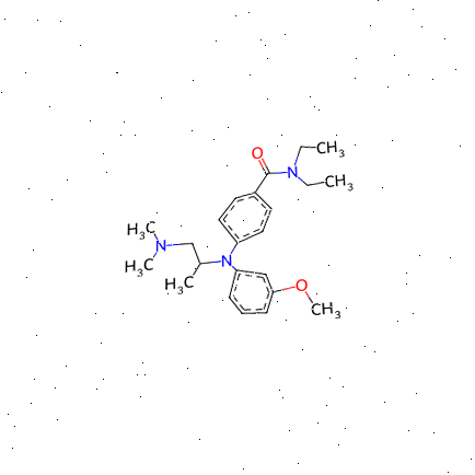 CCN(CC)C(=O)c1ccc(N(c2cccc(OC)c2)C(C)CN(C)C)cc1